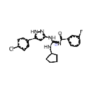 O=C(/N=C(\Nc1cc(-c2ccc(Cl)cc2)[nH]n1)NC1CCCC1)c1cccc(F)c1